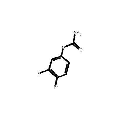 NC(=O)Oc1ccc(Br)c(F)c1